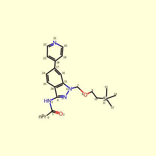 CCCC(=O)Nc1nn(COCC[Si](C)(C)C)c2cc(-c3ccncc3)ccc12